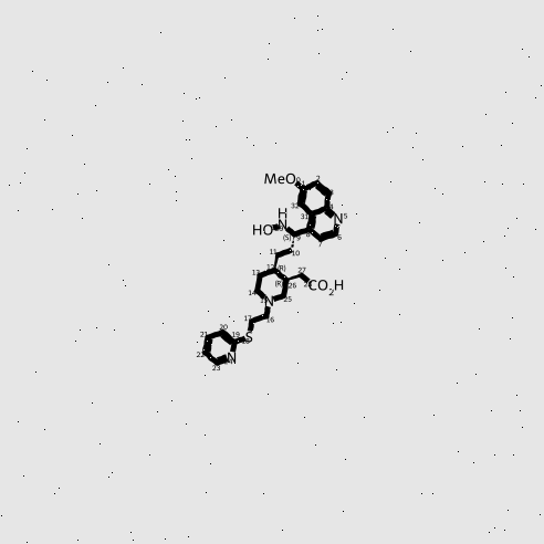 COc1ccc2nccc([C@H](CC[C@@H]3CCN(CCSc4ccccn4)C[C@@H]3CC(=O)O)NO)c2c1